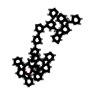 c1ccc(-c2nc(-c3cccc(-c4ccc(-c5ccc(-c6nc(-n7c8ccccc8c8ccc9c%10ccccc%10n(-c%10ccccc%10)c9c87)nc(-n7c8ccccc8c8ccc9c%10ccccc%10n(-c%10ccccc%10)c9c87)n6)cc5)cc4)c3)nc(-n3c4ccccc4c4ccc5c(c6ccccc6n5-c5ccccc5)c43)n2)cc1